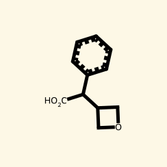 O=C(O)C(c1ccccc1)C1COC1